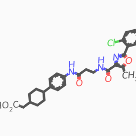 Cc1oc(-c2ccccc2Cl)nc1C(=O)NCCC(=O)Nc1ccc(C2CCC(CC(=O)O)CC2)cc1